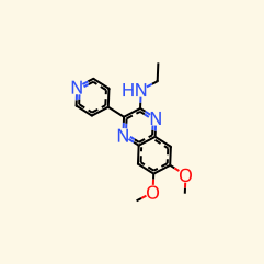 CCNc1nc2cc(OC)c(OC)cc2nc1-c1ccncc1